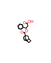 O=C(O)CC(OC(=O)C12CC=C3C(CC3C1)C2)c1ccccc1